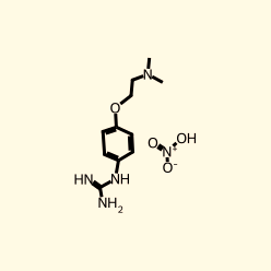 CN(C)CCOc1ccc(NC(=N)N)cc1.O=[N+]([O-])O